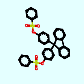 O=S(=O)(Oc1ccc(C2(c3ccc(OS(=O)(=O)c4ccccc4)cc3)c3ccccc3-c3ccccc32)cc1)c1ccccc1